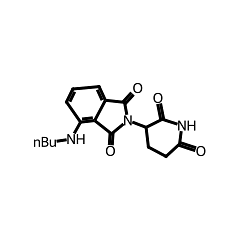 CCCCNc1cccc2c1C(=O)N(C1CCC(=O)NC1=O)C2=O